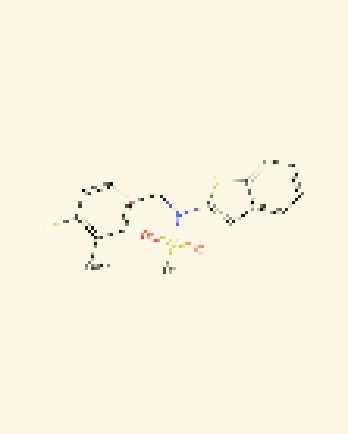 CCS(=O)(=O)N(Cc1ccc(F)c(OC)c1)c1cc2ccccc2s1